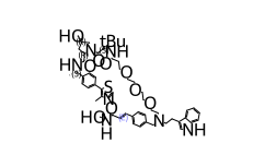 Cc1ncsc1-c1ccc([C@H](C)NC(=O)[C@H]2C[C@@H](O)CN2C(=O)[C@@H](NC(=O)CCOCCOCCOCCN(CCc2c[nH]c3ccccc23)Cc2ccc(/C=C/C(=O)NO)cc2)C(C)(C)C)cc1